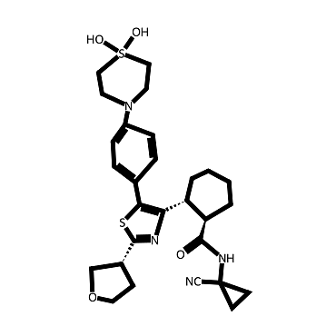 N#CC1(NC(=O)[C@@H]2CCCC[C@H]2c2nc([C@@H]3CCOC3)sc2-c2ccc(N3CCS(O)(O)CC3)cc2)CC1